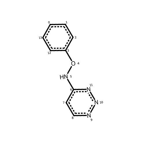 c1ccc(ONc2ccnnn2)cc1